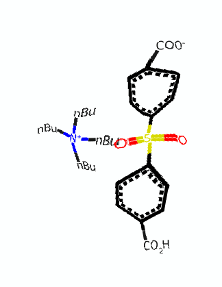 CCCC[N+](CCCC)(CCCC)CCCC.O=C([O-])c1ccc(S(=O)(=O)c2ccc(C(=O)O)cc2)cc1